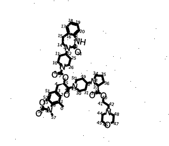 Cc1cc(C[C@@H](OC(=O)N2CCC(N3CCc4ccccc4NC3=O)CC2)C(=O)N2CCC(N3CCC[C@H]3C(=O)OCCN3CCOCC3)CC2)cc2oc(=O)n(C)c12